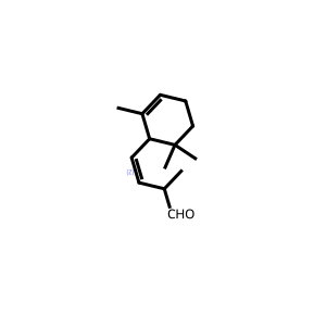 CC1=CCCC(C)(C)C1/C=C\C(C)C=O